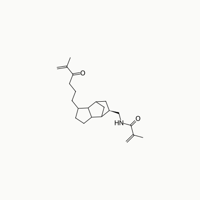 C=C(C)C(=O)CCCC1CCC2C1C1CC2[C@H](CNC(=O)C(=C)C)C1